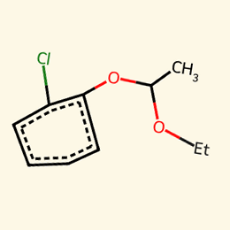 CCOC(C)Oc1ccccc1Cl